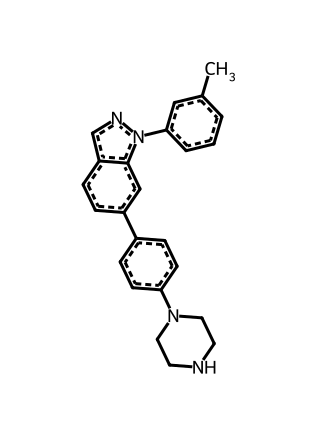 Cc1cccc(-n2ncc3ccc(-c4ccc(N5CCNCC5)cc4)cc32)c1